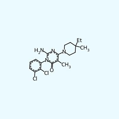 CCC1(C)CCN(c2nc(N)n(-c3cccc(Cl)c3Cl)c(=O)c2C)CC1